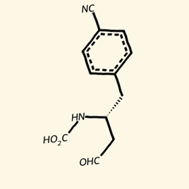 N#Cc1ccc(C[C@H](CC=O)NC(=O)O)cc1